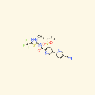 CCS(=O)(=O)c1cc(-c2ccc(C#N)cn2)cnc1C(=O)/N=c1\sc(C(F)(F)F)nn1C